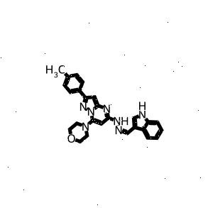 Cc1ccc(-c2cc3nc(N/N=C\c4c[nH]c5ccccc45)cc(N4CCOCC4)n3n2)cc1